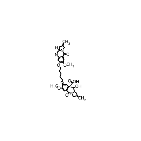 C=C1CC2C(O)N(C(=O)O)c3cc(OCCCCCOc4cc5c(cc4OC)C(=O)N4CC(=C)C[C@H]4C=N5)c(OC)cc3C(=O)N2C1